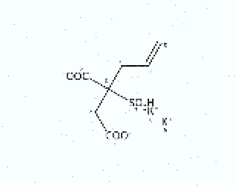 C=CCC(CC(=O)[O-])(C(=O)[O-])S(=O)(=O)O.[K+].[K+]